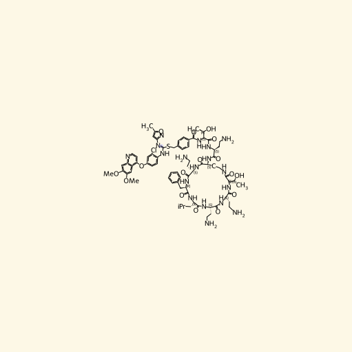 COc1cc2nccc(Oc3ccc(N/C(=N/c4cc(C)on4)SCc4ccc(C(=O)N[C@H](C(=O)N[C@@H](CCN)C(=O)N[C@H]5CCNC(=O)[C@@H]([C@@H](C)O)NC(=O)[C@H](CCN)NC(=O)[C@H](CCN)NC(=O)[C@H](CC(C)C)NC(=O)[C@@H](Cc6ccccc6)NC(=O)[C@H](CCN)NC5=O)[C@@H](C)O)cc4)c(Cl)c3)c2cc1OC